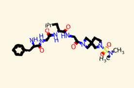 CC(C)CC(NC(=O)CNC(=O)C(N)Cc1ccccc1)C(=O)NCC(=O)N1CC2(CCN(S(=O)(=O)N(C)C)C2)C1